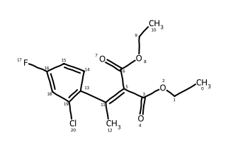 CCOC(=O)C(C(=O)OCC)=C(C)c1ccc(F)cc1Cl